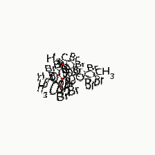 Cc1c(Br)c(Br)c(OC(Oc2c(Br)c(Br)c(C)c(Br)c2Br)=C(Oc2c(Br)c(Br)c(C)c(Br)c2Br)Oc2c(Br)c(Br)c(C)c(Br)c2Br)c(Br)c1Br